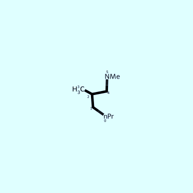 CCCCC(C)CNC